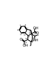 CC1NC2(C)CC3c4ccccc4C(C2C(=O)O)C13C(=O)O